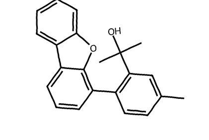 Cc1ccc(-c2cccc3c2oc2ccccc23)c(C(C)(C)O)c1